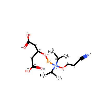 CC(C)[N+](OCCC#N)(POC(CC(=O)O)CC(=O)O)C(C)C